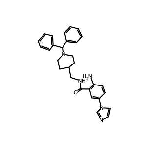 Nc1ccc(-n2ccnc2)cc1C(=O)NCC1CCN(C(c2ccccc2)c2ccccc2)CC1